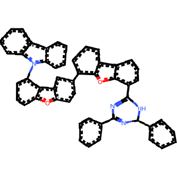 c1ccc(C2=NC(c3ccccc3)NC(c3cccc4c3oc3c(-c5ccc6oc7cccc(-n8c9ccccc9c9ccccc98)c7c6c5)cccc34)=N2)cc1